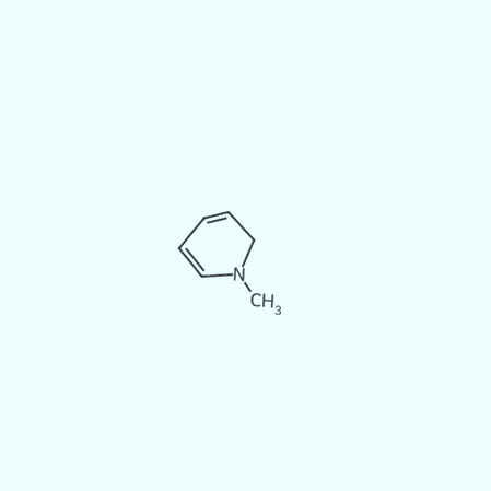 CN1C=CC=CC1